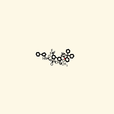 COc1cc(-c2cc(C(F)(F)F)cc3c2n(C)c(=O)n3CC(=O)Nc2cccc(-c3ccccc3)c2)cc(F)c1OCc1nncn1C(c1ccccc1)(c1ccccc1)c1ccccc1